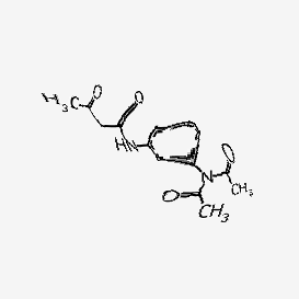 CC(=O)CC(=O)Nc1cccc(N(C(C)=O)C(C)=O)c1